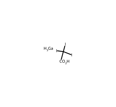 O=C(O)C(I)(I)I.[GaH3]